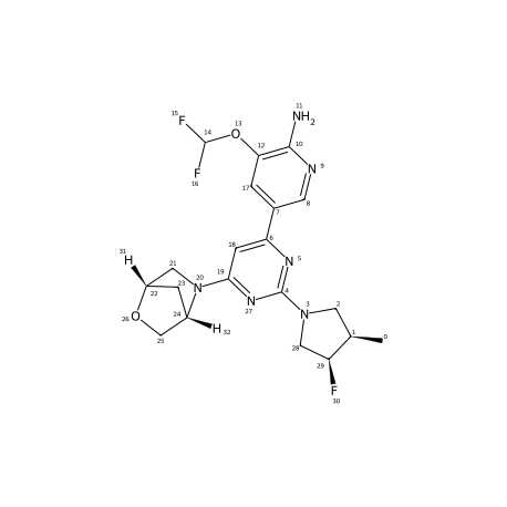 C[C@@H]1CN(c2nc(-c3cnc(N)c(OC(F)F)c3)cc(N3C[C@@H]4C[C@H]3CO4)n2)C[C@@H]1F